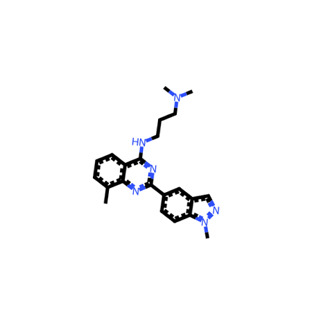 Cc1cccc2c(NCCCN(C)C)nc(-c3ccc4c(cnn4C)c3)nc12